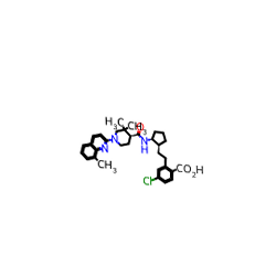 Cc1cccc2ccc(N3CC[C@H](C(=O)N[C@H]4CCC[C@H]4CCc4cc(Cl)ccc4C(=O)O)C(C)(C)C3)nc12